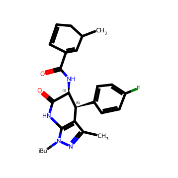 CCC(C)n1nc(C)c2c1NC(=O)[C@@H](NC(=O)C1=CC(C)CC=C1)[C@H]2c1ccc(F)cc1